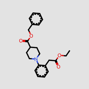 CCOC(=O)Cc1ccccc1N1CCC(C(=O)OCc2ccccc2)CC1